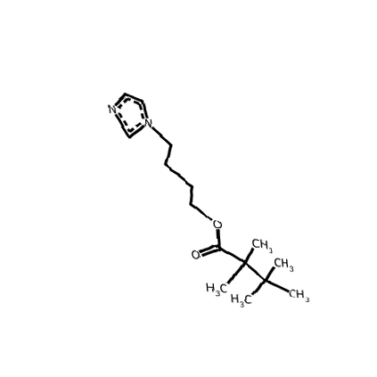 CC(C)(C)C(C)(C)C(=O)OCCCCn1ccnc1